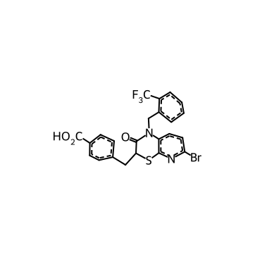 O=C(O)c1ccc(CC2Sc3nc(Br)ccc3N(Cc3ccccc3C(F)(F)F)C2=O)cc1